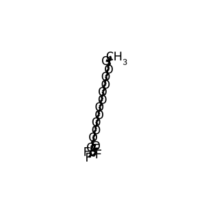 CCC(=O)CCOCCOCCOCCOCCOCCOCCOCCOCCOCCOCCC(=O)Oc1c(F)c(F)cc(F)c1F